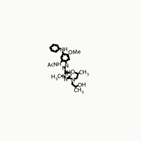 COc1cc(N=Nc2sc(N(CC(C)O)CC(C)O)n[n+]2C)c(NC(C)=O)cc1Nc1ccccc1